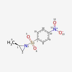 C[C@@H]1CN1S(=O)(=O)c1ccc([N+](=O)[O-])cc1